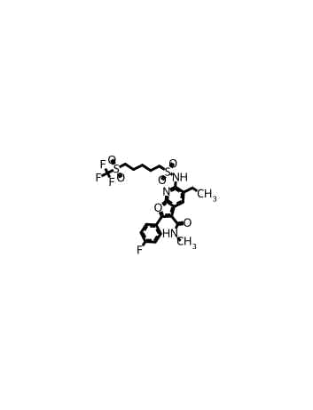 CCc1cc2c(C(=O)NC)c(-c3ccc(F)cc3)oc2nc1NS(=O)(=O)CCCCCS(=O)(=O)C(F)(F)F